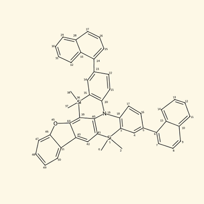 C[Si]1(C)c2cc(-c3cccc4ccccc34)ccc2N2c3ccc(-c4cccc5ccccc45)cc3[Si](C)(C)c3c2c1cc1c3oc2ccccc21